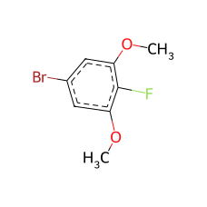 COc1cc(Br)cc(OC)c1F